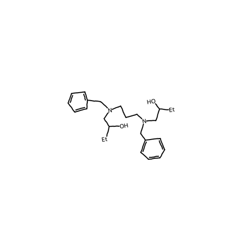 CCC(O)CN(CCCN(Cc1ccccc1)CC(O)CC)Cc1ccccc1